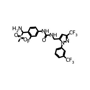 CS(=O)(=O)C(N)c1ccc(NC(=O)NCc2cc(C(F)(F)F)nn2-c2cccc(C(F)(F)F)c2)cc1F